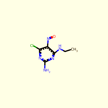 C[CH]Nc1nc(N)nc(Cl)c1N=O